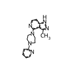 Cc1n[nH]c2ccnc(N3CCN(c4ccccn4)CC3)c12